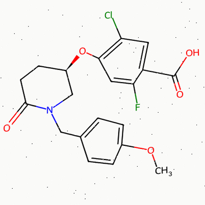 COc1ccc(CN2C[C@H](Oc3cc(F)c(C(=O)O)cc3Cl)CCC2=O)cc1